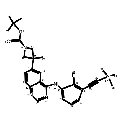 CC(C)(C)OC(=O)N1CC(C)(c2ccc3ncnc(Nc4cccc(C#C[Si](C)(C)C)c4F)c3c2)C1